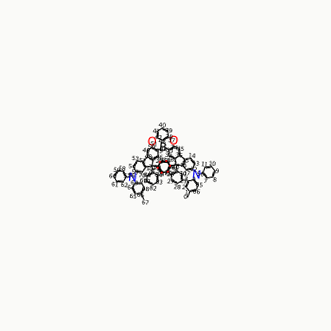 Cc1ccc(N(c2ccccc2)c2ccc3c(c2)C(c2ccccc2)(c2ccccc2)c2cc4c(cc2-3)Oc2cccc3c2B4c2cc4c(cc2O3)-c2ccc(N(c3ccccc3)c3ccc(C)cc3)cc2C4(c2ccccc2)c2ccccc2)cc1